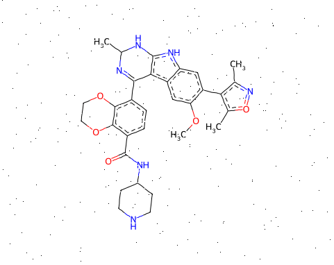 COc1cc2c3c([nH]c2cc1-c1c(C)noc1C)NC(C)N=C3c1ccc(C(=O)NC2CCNCC2)c2c1OCCO2